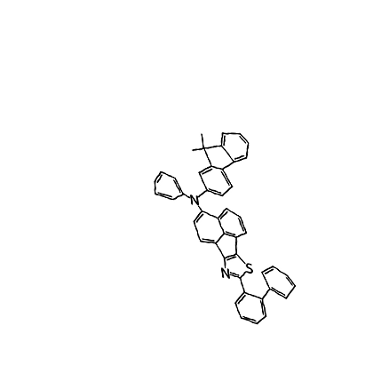 CC1(C)c2ccccc2-c2ccc(N(c3ccccc3)c3ccc4c5c(cccc35)-c3sc(-c5ccccc5-c5ccccc5)nc3-4)cc21